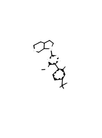 COc1nc(N2CCC3CCNCC32)nnc1-c1ccc(C(F)(F)F)cc1O